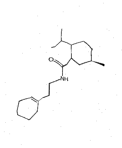 CC(C)C1CC[C@@H](C)CC1C(=O)NCCC1=CCCCC1